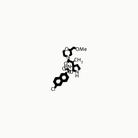 COCC1CN(C(=O)[C@@H](C)[C@@]2(NS(=O)(=O)c3ccc4cc(Cl)ccc4c3)CCNC2=O)CCO1